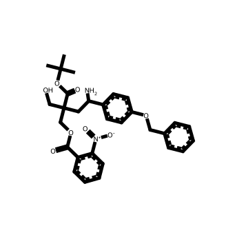 CC(C)(C)OC(=O)C(CO)(COC(=O)c1ccccc1[N+](=O)[O-])CC(N)c1ccc(OCc2ccccc2)cc1